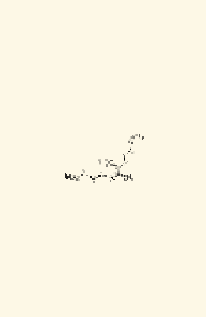 C=C(SCCCC)C(=C)SCCCC